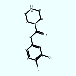 O=C(Cc1ccc(Cl)c(Cl)c1)N1CCNCC1